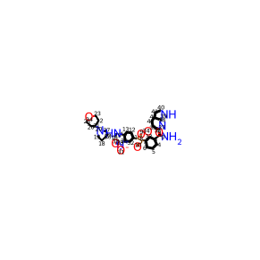 NC(=O)c1cccc(S(=O)(=O)c2ccc(NC[C@@H]3CCN(C4CCOCC4)C3)c([N+](=O)[O-])c2)c1Oc1cnc2[nH]ccc2c1